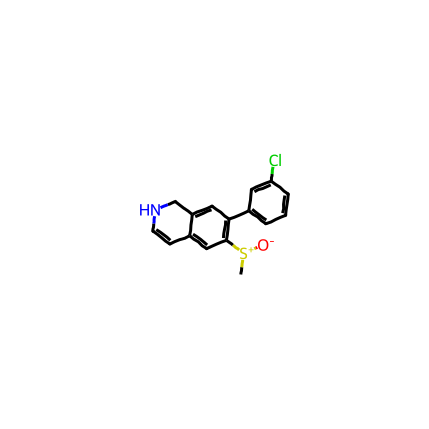 C[S+]([O-])c1cc2c(cc1-c1cccc(Cl)c1)CNC=C2